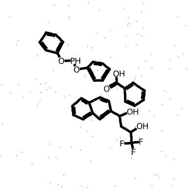 O=C(O)c1ccccc1.OC(CC(O)C(F)(F)F)c1ccc2ccccc2c1.c1ccc(OPOc2ccccc2)cc1